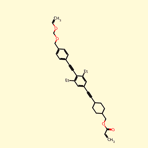 C=COCOCc1ccc(C#Cc2c(CC)cc(C#CC3CCC(COC(=O)C=C)CC3)cc2CC)cc1